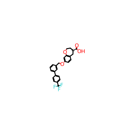 O=C(O)[C@@H]1CCOc2cc(OCc3cccc(-c4ccc(C(F)(F)F)cc4)c3)ccc2C1